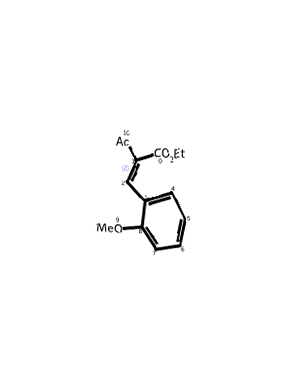 CCOC(=O)/C(=C\c1ccccc1OC)C(C)=O